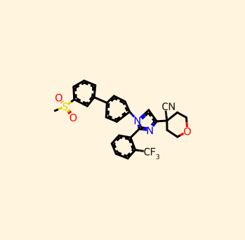 CS(=O)(=O)c1cccc(-c2ccc(-n3cc(C4(C#N)CCOCC4)nc3-c3ccccc3C(F)(F)F)cc2)c1